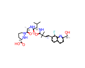 CC(C)[C@H](NC(=O)C(C)(C)/C=C/c1ccc2ccc([C@@H](C)O)nc2c1F)C(=O)N[C@@H](C)C(=O)N1CCC[C@@H](C(=O)O)N1